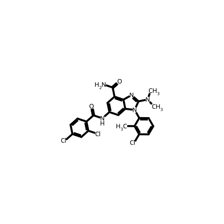 Cc1c(Cl)cccc1-n1c(N(C)C)nc2c(C(N)=O)cc(NC(=O)c3ccc(Cl)cc3Cl)cc21